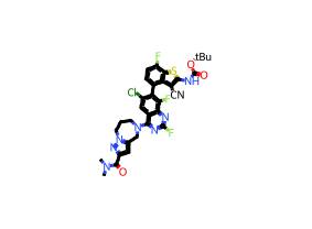 CN(C)C(=O)c1cc2n(n1)CCCN(c1nc(F)nc3c(F)c(-c4ccc(F)c5sc(NC(=O)OC(C)(C)C)c(C#N)c45)c(Cl)cc13)C2